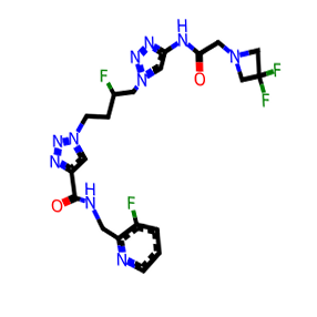 O=C(CN1CC(F)(F)C1)Nc1cn(CC(F)CCn2cc(C(=O)NCc3ncccc3F)nn2)nn1